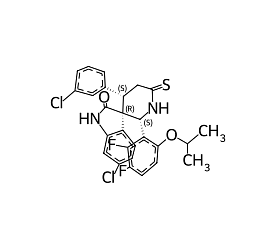 CC(C)Oc1ccc(F)c(F)c1[C@H]1NC(=S)C[C@@H](c2cccc(Cl)c2)[C@]12C(=O)Nc1cc(Cl)ccc12